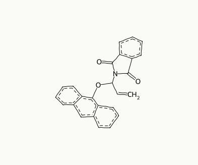 C=CC(Oc1c2ccccc2cc2ccccc12)N1C(=O)c2ccccc2C1=O